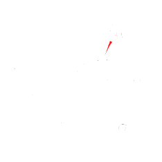 O=C(OCl)[C@H](O)c1ccccc1.[Cu]